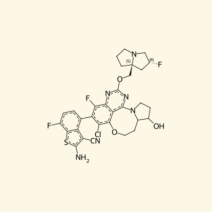 N#Cc1c(N)sc2c(F)ccc(-c3c(Cl)c4c5c(nc(OC[C@@]67CCCN6C[C@H](F)C7)nc5c3F)N3CCC(O)C3CCO4)c12